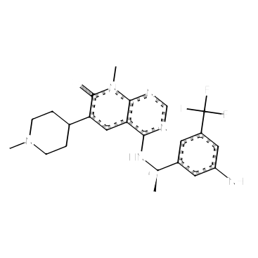 C[C@@H](Nc1ncnc2c1cc(C1CCN(C)CC1)c(=O)n2C)c1cc(N)cc(C(F)(F)F)c1